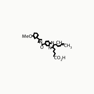 C=C(/C=C\C=C/C)c1nc2ccc(C(=O)N3CC(C4=CCCC(OC)=C4)C3)cc2nc1CCCCC(=O)O